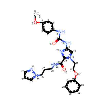 O=C(Nc1ccc(OC(F)(F)F)cc1)Nc1cn(CCOc2ccccc2)c(C(=O)NCCCn2cccn2)n1